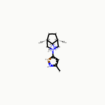 Cc1cc(N2C[C@H]3CC[C@@H](C2)[C@H]3N)sn1